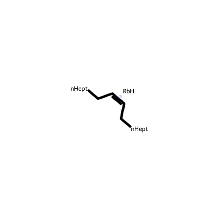 CCCCCCCC/C=C\CCCCCCCC.[RbH]